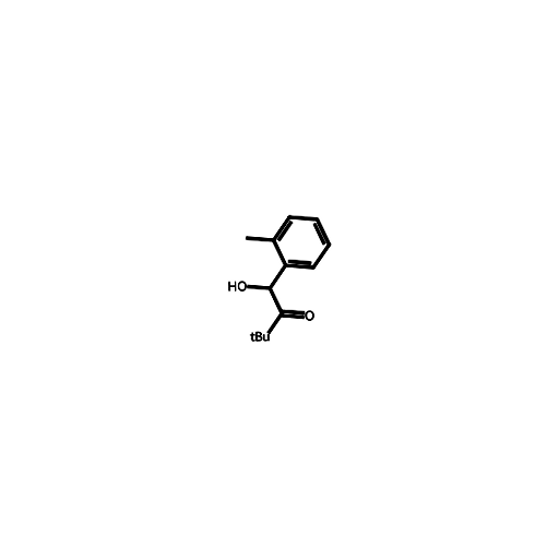 Cc1ccccc1C(O)C(=O)C(C)(C)C